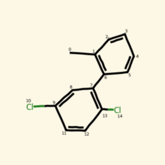 Cc1[c]cccc1-c1cc(Cl)ccc1Cl